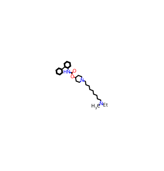 CCN(C)CCCCCCCCCN1CCC(OC(=O)Nc2ccccc2-c2ccccc2)CC1